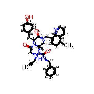 C#CCN1CC(=O)N2[C@@H](Cc3ccc(O)cc3)C(=O)N(Cc3ccc(C)c4cccnc34)C[C@@H]2N1C(=O)NCc1ccccc1